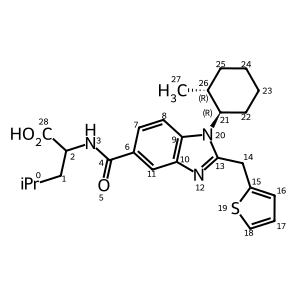 CC(C)CC(NC(=O)c1ccc2c(c1)nc(Cc1cccs1)n2[C@@H]1CCCC[C@H]1C)C(=O)O